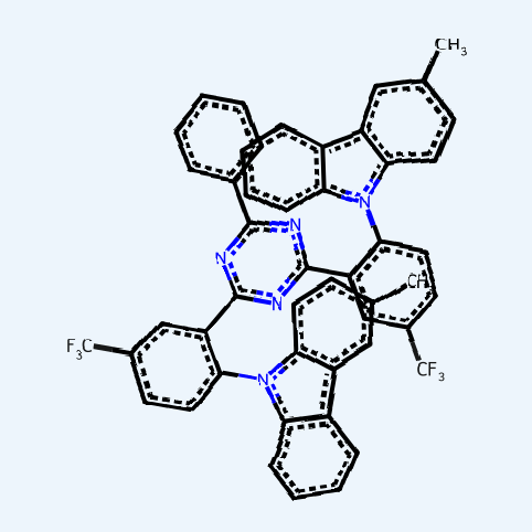 Cc1ccc2c(c1)c1ccccc1n2-c1ccc(C(F)(F)F)cc1-c1nc(-c2ccccc2)nc(-c2cc(C(F)(F)F)ccc2-n2c3ccccc3c3cc(C)ccc32)n1